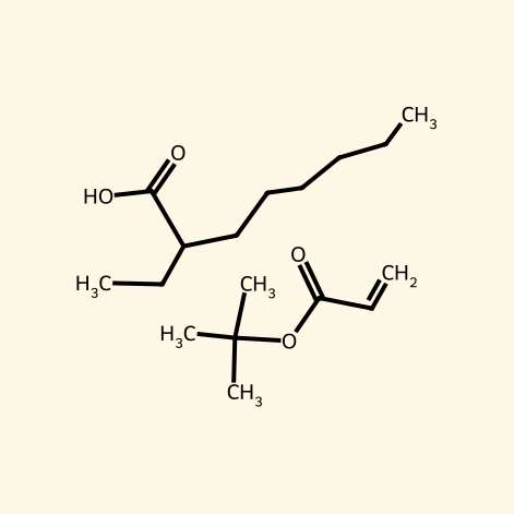 C=CC(=O)OC(C)(C)C.CCCCCCC(CC)C(=O)O